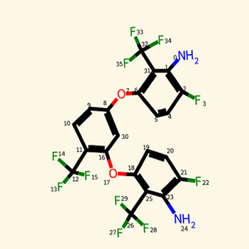 Nc1c(F)ccc(Oc2ccc(C(F)(F)F)c(Oc3ccc(F)c(N)c3C(F)(F)F)c2)c1C(F)(F)F